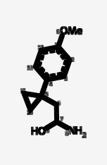 COc1ccc(C2(CC(N)O)CC2)cc1